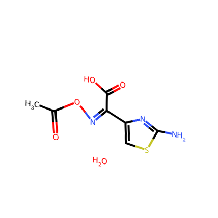 CC(=O)ON=C(C(=O)O)c1csc(N)n1.O